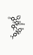 COC(=O)NC(C(=O)Nc1cccc(F)c1CC[C@H]1CNC[C@@H](C)N1S(=O)(=O)c1ccc(C(F)F)cc1)[C@@H](c1ccc(Cl)cc1)C1CCOCC1